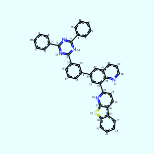 c1ccc(-c2nc(-c3ccccc3)nc(-c3cccc(-c4cc(-c5ccc6c(n5)sc5ccccc56)c5ncccc5c4)c3)n2)cc1